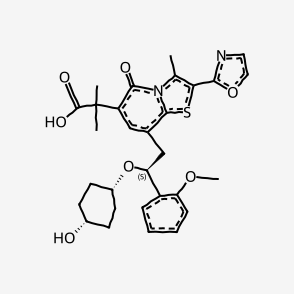 COc1ccccc1[C@H](Cc1cc(C(C)(C)C(=O)O)c(=O)n2c(C)c(-c3ncco3)sc12)O[C@H]1CC[C@@H](O)CC1